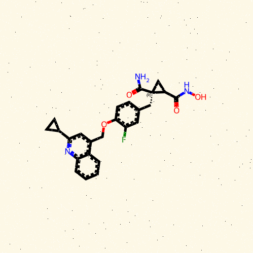 NC(=O)[C@@]1(Cc2ccc(OCc3cc(C4CC4)nc4ccccc34)c(F)c2)CC1C(=O)NO